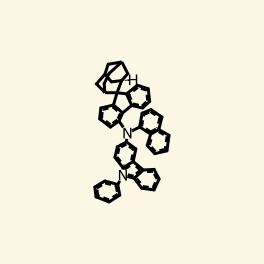 c1ccc(-n2c3ccccc3c3cc(N(c4cccc5c4-c4ccccc4C54C5CCC6CC(C5)C[C@H]4C6)c4cccc5ccccc45)ccc32)cc1